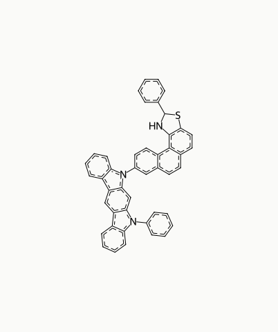 c1ccc(C2Nc3c(ccc4ccc5cc(-n6c7ccccc7c7cc8c9ccccc9n(-c9ccccc9)c8cc76)ccc5c34)S2)cc1